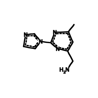 Cc1cc(CN)nc(-n2ccnc2)n1